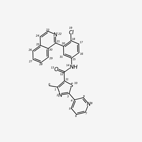 Cc1nc(-c2cccnc2)sc1C(=O)Nc1ccc(Cl)c(-c2nccc3ccccc23)c1